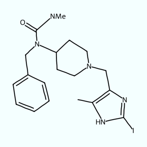 CNC(=O)N(Cc1ccccc1)C1CCN(Cc2nc(I)[nH]c2C)CC1